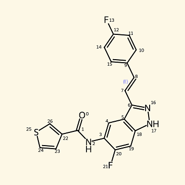 O=C(Nc1cc2c(/C=C/c3ccc(F)cc3)n[nH]c2cc1F)c1ccsc1